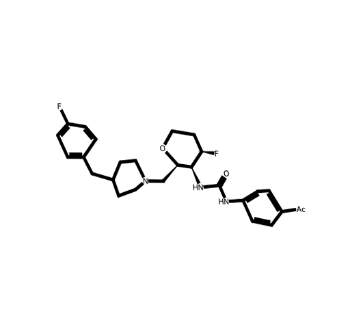 CC(=O)c1ccc(NC(=O)N[C@@H]2[C@H](F)CCO[C@@H]2CN2CCC(Cc3ccc(F)cc3)CC2)cc1